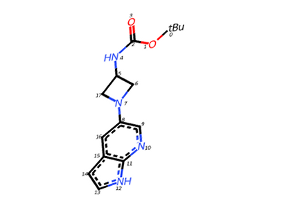 CC(C)(C)OC(=O)NC1CN(c2cnc3[nH]ccc3c2)C1